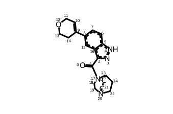 O=C(c1n[nH]c2ccc(C3=CCOCC3)cc12)N1CCN2CCC1CC2